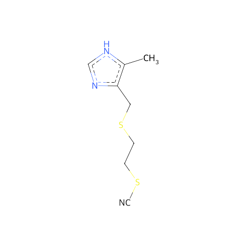 Cc1[nH]cnc1CSCCSC#N